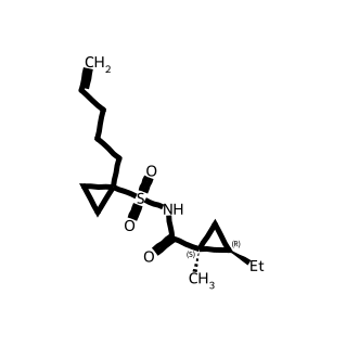 C=CCCCC1(S(=O)(=O)NC(=O)[C@@]2(C)C[C@H]2CC)CC1